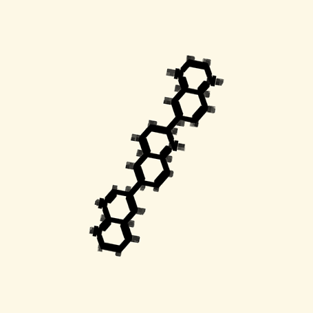 c1cnc2ncc(-c3ccc4nc(-c5ccc6nccnc6c5)ccc4c3)cc2c1